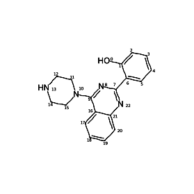 Oc1ccccc1-c1nc(N2CCNCC2)c2ccccc2n1